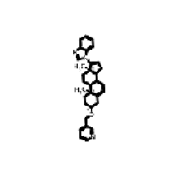 C[C@]12CC[C@H](OCc3cccnc3)CC1=CCC1C2CC[C@]2(C)C(n3cnc4ccccc43)=CCC12